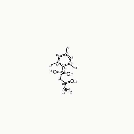 Cc1cc(C)c(S(=O)(=O)CC(N)=O)c(C)c1